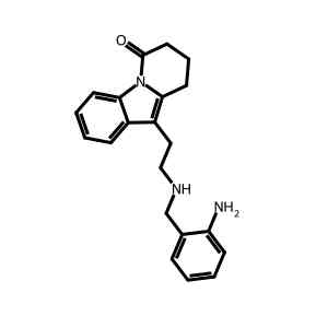 Nc1ccccc1CNCCc1c2n(c3ccccc13)C(=O)CCC2